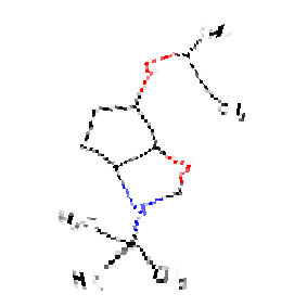 CC(C)OC1CCC2C1OCN2C(C)(C)C